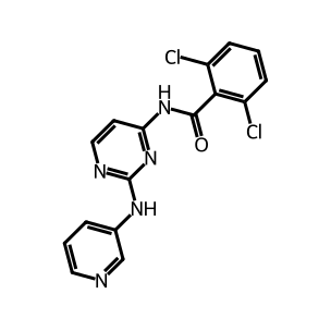 O=C(Nc1ccnc(Nc2cccnc2)n1)c1c(Cl)cccc1Cl